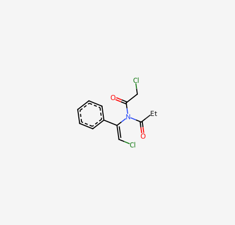 CCC(=O)N(C(=O)CCl)C(=CCl)c1ccccc1